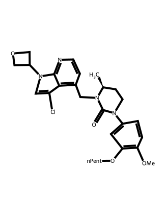 CCCCCOc1cc(N2CC[C@H](C)N(Cc3ccnc4c3c(Cl)cn4C3COC3)C2=O)ccc1OC